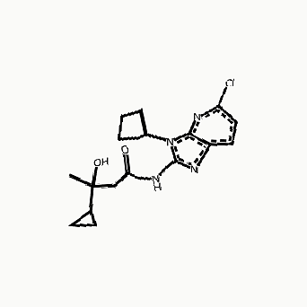 CC(O)(CC(=O)Nc1nc2ccc(Cl)nc2n1C1CCC1)C1CC1